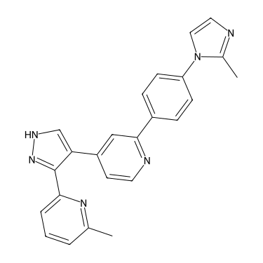 Cc1cccc(-c2n[nH]cc2-c2ccnc(-c3ccc(-n4ccnc4C)cc3)c2)n1